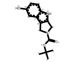 CC(C)(C)OC(=O)N1Cc2[nH]c3ccc(O)cc3c2C1